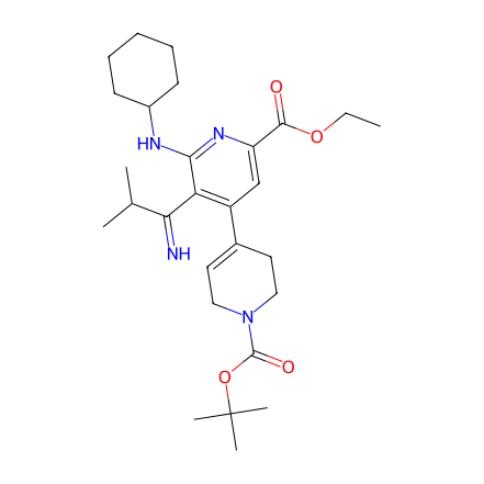 CCOC(=O)c1cc(C2=CCN(C(=O)OC(C)(C)C)CC2)c(C(=N)C(C)C)c(NC2CCCCC2)n1